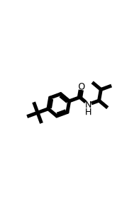 CC(C)C(C)NC(=O)c1ccc(C(C)(C)C)cc1